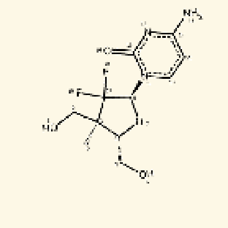 C[C@@]1(CO)[C@@H](CO)O[C@H](n2ccc(N)nc2=O)C1(F)F